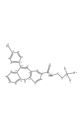 O=C(NCCC(F)(F)F)c1ccc2c(c1)N=C(c1ccc(Cl)cc1)c1ccccc1S2